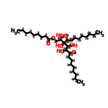 CCCCCCCCC(=O)OC[C@@H](O)[C@@](O)(C(=O)CCCCCCCC)[C@@H](O)C(O)C(=O)CCCCCCCC